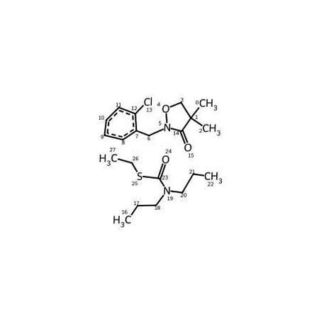 CC1(C)CON(Cc2ccccc2Cl)C1=O.CCCN(CCC)C(=O)SCC